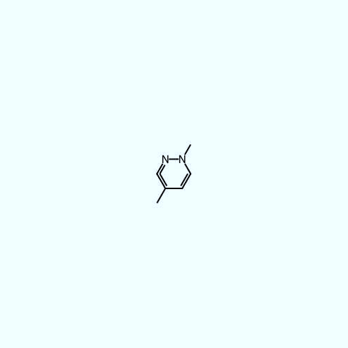 CC1=C=NN(C)C=C1